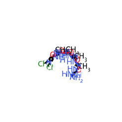 Cn1cc(NC(=O)c2cc(NC(=O)c3cc(NC(=O)c4cc(NC(=O)c5ccc(N(CCCl)CCCl)cc5)nn4C)cn3C)cn2C)cc1C(=O)NCCNC(=N)N